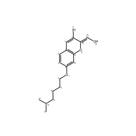 CC(=O)c1cc2ccc(OCCCCN(C)C)cc2oc1=NO